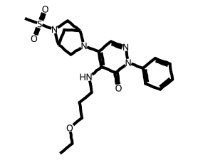 CCOCCCNc1c(N2CC3CC2CN3S(C)(=O)=O)cnn(-c2ccccc2)c1=O